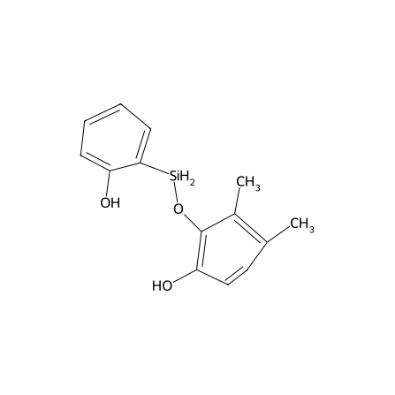 Cc1ccc(O)c(O[SiH2]c2ccccc2O)c1C